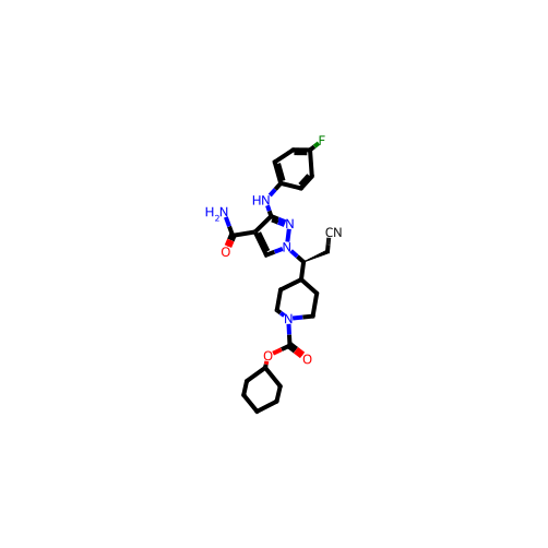 N#CC[C@@H](C1CCN(C(=O)OC2CCCCC2)CC1)n1cc(C(N)=O)c(Nc2ccc(F)cc2)n1